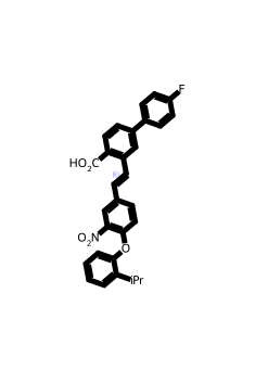 CC(C)c1ccccc1Oc1ccc(/C=C/c2cc(-c3ccc(F)cc3)ccc2C(=O)O)cc1[N+](=O)[O-]